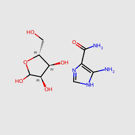 NC(=O)c1nc[nH]c1N.OC[C@H]1OC(O)[C@H](O)[C@@H]1O